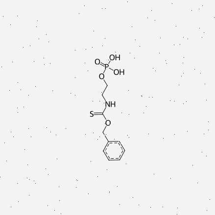 O=P(O)(O)OCCNC(=S)OCc1ccccc1